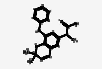 CC(C(=O)O)c1cc2c(c(Oc3ccccc3)c1)OC(C)(C)C=C2